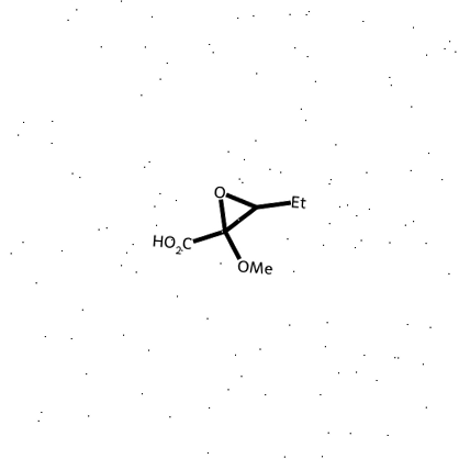 CCC1OC1(OC)C(=O)O